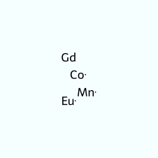 [Co].[Eu].[Gd].[Mn]